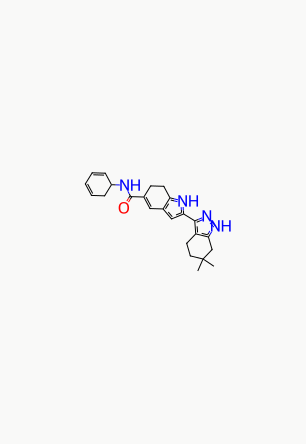 CC1(C)CCc2c(-c3cc4c([nH]3)CCC(C(=O)NC3C=CC=CC3)=C4)n[nH]c2C1